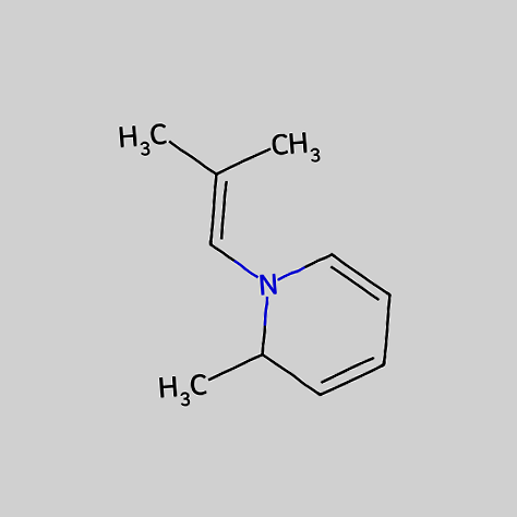 CC(C)=CN1C=CC=CC1C